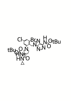 CC(C)(C)OC(=O)Nc1ncnc2c1ncn2Cc1c(Br)cc(Cl)cc1N1CC[C@](NC(=O)OC(C)(C)C)(C(=O)NC2CC2)C1